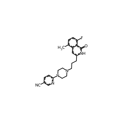 Cc1ccc(F)c2c(=O)[nH]c(CCCN3CCN(c4ccc(C#N)cn4)CC3)cc12